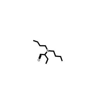 CCCCN(CCCC)C([C]=O)CC